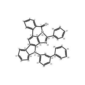 O=c1c2ccccc2c2cc3c4ccccc4n(-c4cccc(-c5ccccc5)c4)c3c3nc(-c4ccccc4)n1c23